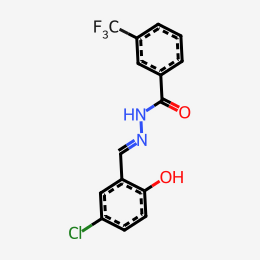 O=C(NN=Cc1cc(Cl)ccc1O)c1cccc(C(F)(F)F)c1